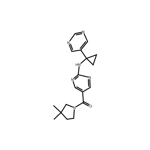 CC1(C)CCN(C(=O)c2cnc(NC3(c4cncnc4)CC3)nc2)C1